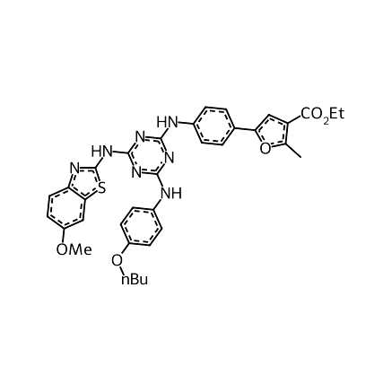 CCCCOc1ccc(Nc2nc(Nc3ccc(-c4cc(C(=O)OCC)c(C)o4)cc3)nc(Nc3nc4ccc(OC)cc4s3)n2)cc1